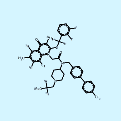 [2H]c1c(C)c([2H])c2c(=O)c([2H])c(SC([2H])([2H])c3cccc(F)c3F)n(CC(=O)N(Cc3ccc(-c4ccc(C(F)(F)F)cc4)cc3)C3CCN(CC([2H])([2H])OC)CC3)c2c1[2H]